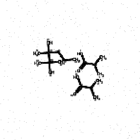 CC(C)C(=O)O.CC(C)C(=O)O.CCCC(C)(O)C(C)(C)O